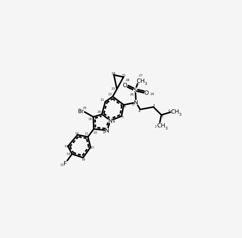 CC(C)CCN(c1cn2nc(-c3ccc(F)cc3)c(Br)c2cc1C1CC1)S(C)(=O)=O